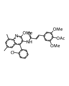 COc1cc(C=CC(=O)Nc2c(OC)nc3c(C)cc(C)cc3c2-c2ccccc2Cl)cc(OC)c1OC(C)=O